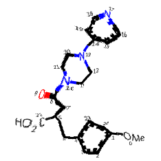 COc1ccc(CC(CC(=O)N2CCN(c3ccncc3)CC2)C(=O)O)cc1